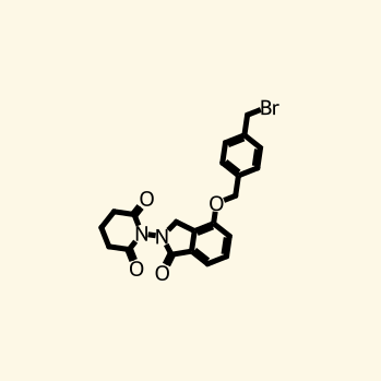 O=C1c2cccc(OCc3ccc(CBr)cc3)c2CN1N1C(=O)CCCC1=O